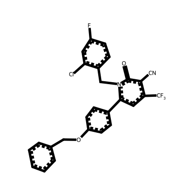 N#Cc1c(C(F)(F)F)cc(-c2ccc(OCc3ccccc3)cc2)n(Cc2ccc(F)cc2Cl)c1=O